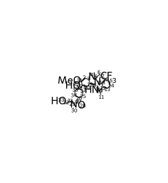 COc1cc2nc(C)nc(N[C@H](C)c3cccc(C(F)(F)F)c3)c2cc1[C@]1(O)CC[C@@H](C(=O)N(C)CCO)CC1